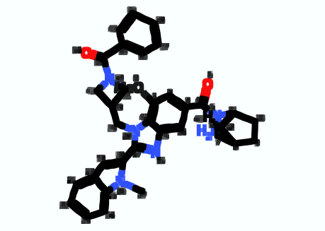 COc1cc(C(=O)N2CC3CCC2[C@@H]3N)cc2nc(-c3cc4ccccc4n3C)n(CC3CN(C(=O)c4ccccc4)C3)c12